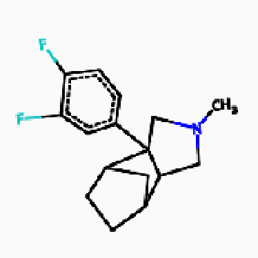 CN1CC2C3CCC(C3)C2(c2ccc(F)c(F)c2)C1